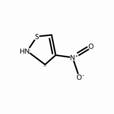 O=[N+]([O-])C1=CSN[C]1